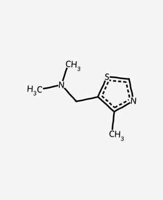 Cc1ncsc1CN(C)C